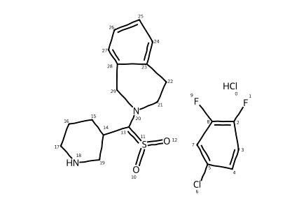 Cl.Fc1ccc(Cl)cc1F.O=S(=O)=C(C1CCCNC1)N1CCc2ccccc2C1